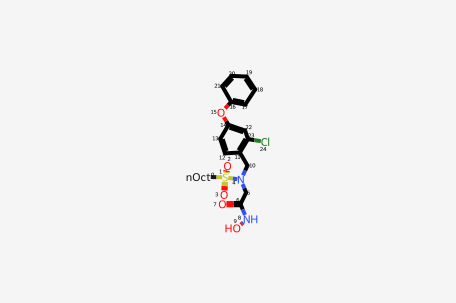 CCCCCCCCS(=O)(=O)N(CC(=O)NO)Cc1ccc(Oc2ccccc2)cc1Cl